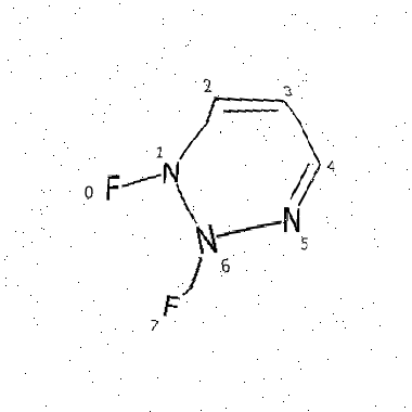 FN1C=CC=NN1F